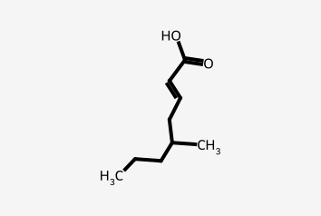 CCCC(C)CC=CC(=O)O